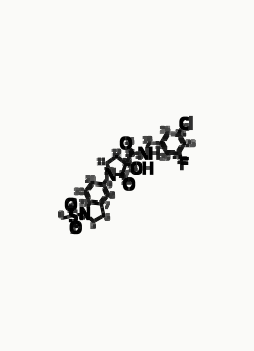 CS(=O)(=O)N1CCc2cc(N3CC[C@](O)(C(=O)NCc4cc(F)cc(Cl)c4)C3=O)ccc21